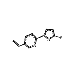 C=Cc1ccc(-n2ccc(F)n2)nc1